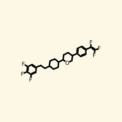 FC(F)=C(F)c1ccc(C2CCC(C3CCC(CCc4cc(F)c(F)c(F)c4)CC3)OC2)cc1